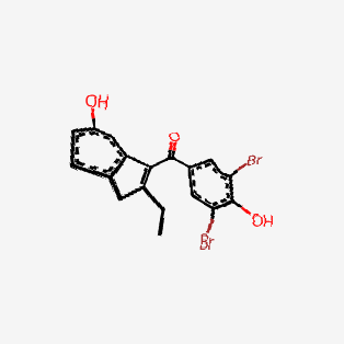 CCC1=C(C(=O)c2cc(Br)c(O)c(Br)c2)c2cc(O)ccc2C1